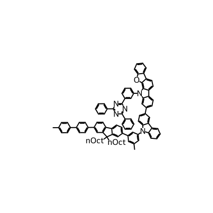 CCCCCCCCC1(CCCCCCCC)c2cc(-c3ccc(-c4ccc(C)cc4)cc3)ccc2-c2ccc(-c3cc(C)cc(-n4c5ccccc5c5cc(-c6ccc7c8ccc9c%10ccccc%10oc9c8n(-c8cccc(-c9nc(-c%10ccccc%10)nc(-c%10ccccc%10)n9)c8)c7c6)ccc54)c3)cc21